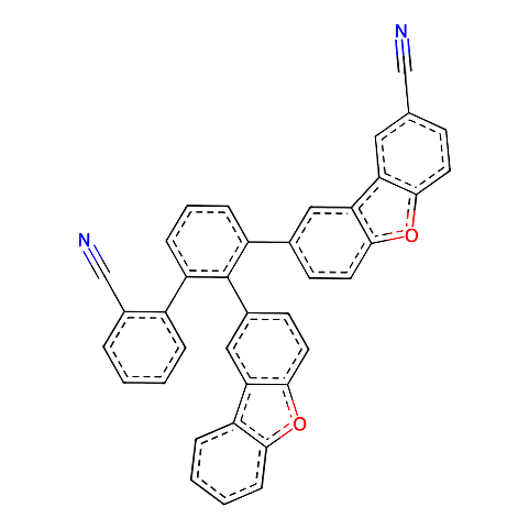 N#Cc1ccc2oc3ccc(-c4cccc(-c5ccccc5C#N)c4-c4ccc5oc6ccccc6c5c4)cc3c2c1